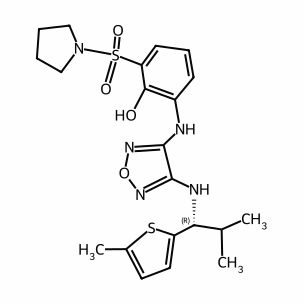 Cc1ccc([C@H](Nc2nonc2Nc2cccc(S(=O)(=O)N3CCCC3)c2O)C(C)C)s1